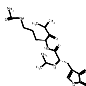 CC(C)N[C@@H](Cc1c[nH]c2ccccc12)C(=O)N[C@@H](CCCNC(N)=O)C(=O)C(C)C